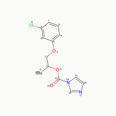 CC(C)(C)C(COc1cccc(Cl)c1)OC(=O)n1ccnc1